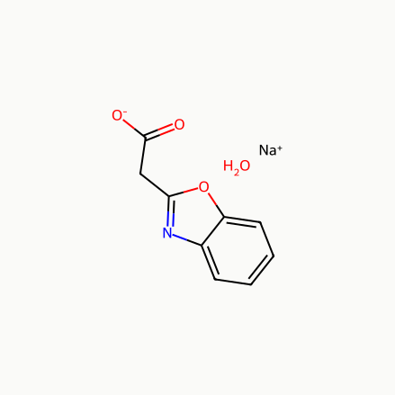 O.O=C([O-])Cc1nc2ccccc2o1.[Na+]